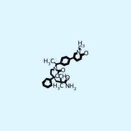 C[C@@H](c1ccc(-c2ccc(=O)n(C)c2)cc1)N1CC[C@@](CC(C)(C)C(N)=O)(c2ccccc2)OC1=O